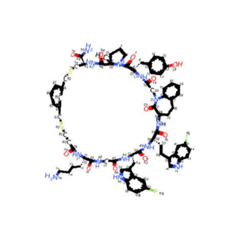 C[C@@]12CCCN1C(=O)[C@H](Cc1ccc(O)cc1)NC(=O)CN1C(=O)[C@H](CCc3ccccc31)NC(=O)[C@H](CCc1c[nH]c3ccc(F)cc13)NC(=O)[C@H](Cc1c[nH]c3ccc(F)cc13)NC(=O)CNC(=O)[C@H](CCCCN)NC(=O)CCSCc1cccc(c1)CSC[C@@H](C(N)=O)NC2=O